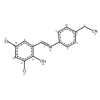 N#CCc1ccc(/N=C/c2cc(Cl)cc(Cl)c2O)cc1